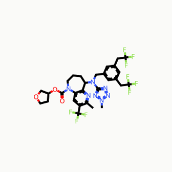 Cc1nc2c(cc1C(F)(F)F)N(C(=O)OC1CCOC1)CCCC2N(Cc1cc(CC(F)(F)F)cc(CC(F)(F)F)c1)c1nnn(C)n1